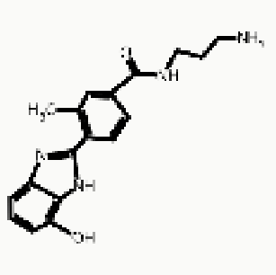 Cc1cc(C(=O)NCCCN)ccc1-c1nc2cccc(O)c2[nH]1